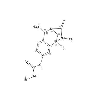 CCNC(=O)Oc1ccc2c(c1)[C@H]1CN(C(=O)N1O)[C@H]2C(=O)O